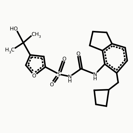 CC(C)(O)c1coc(S(=O)(=O)NC(=O)Nc2c(CC3CCC3)ccc3c2CCC3)c1